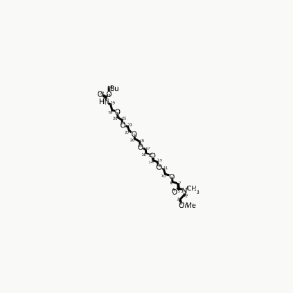 COCCN(C)C(=O)CCOCCOCCOCCOCCOCCOCCOCCNC(=O)OC(C)(C)C